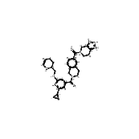 O=C(c1cc(OCC2CCC=CO2)nc(C2CC2)c1)N1CCc2cc(C(=O)N3CCc4[nH]nnc4C3)ccc2C1